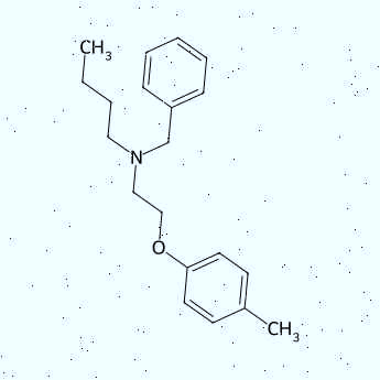 CCCCN(CCOc1ccc(C)cc1)Cc1ccccc1